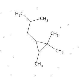 CC(C)CC1C(C)C1(C)C